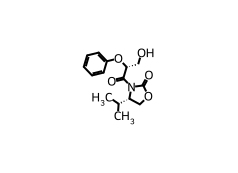 CC(C)[C@H]1COC(=O)N1C(=O)[C@@H](CO)Oc1ccccc1